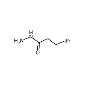 CC(C)CCC(=O)NN